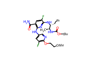 COCCOc1ncc(Nc2nc(N[C@H](CC(C)C)[C@H](C)NC(=O)OC(C)(C)C)c(F)cc2C(N)=O)cc1F